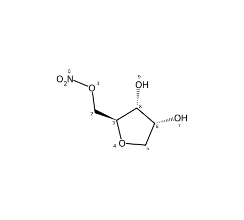 O=[N+]([O-])OC[C@@H]1OC[C@@H](O)[C@H]1O